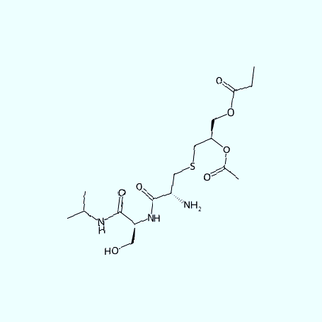 CCC(=O)OC[C@H](CSC[C@H](N)C(=O)N[C@@H](CO)C(=O)NC(C)C)OC(C)=O